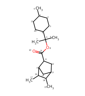 CC1CCC(C(C)(C)OC(=O)C2CC3CC2C(C)C3C)CC1